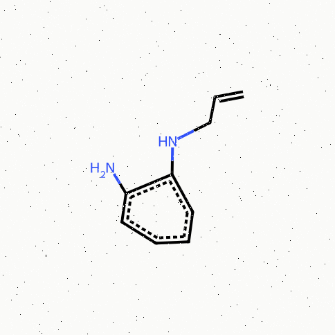 C=CCNc1ccccc1N